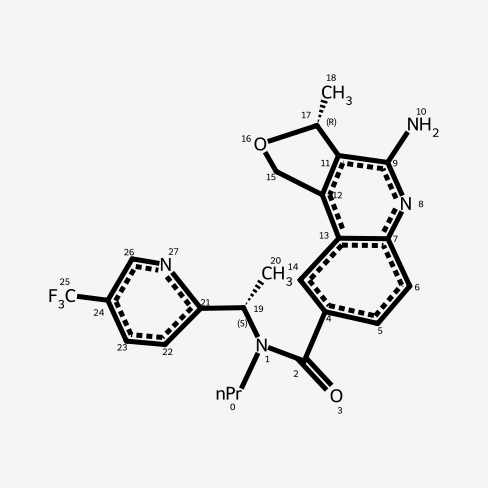 CCCN(C(=O)c1ccc2nc(N)c3c(c2c1)CO[C@@H]3C)[C@@H](C)c1ccc(C(F)(F)F)cn1